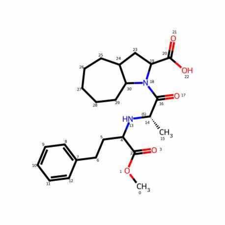 COC(=O)C(CCc1ccccc1)N[C@@H](C)C(=O)N1C(C(=O)O)CC2CCCCCC21